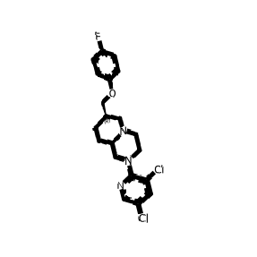 Fc1ccc(OC[C@@H]2CCC3CN(c4ncc(Cl)cc4Cl)CCN3C2)cc1